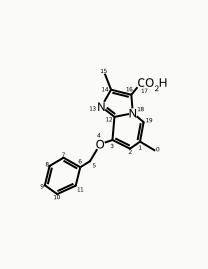 Cc1cc(OCc2ccccc2)c2nc(C)c(C(=O)O)n2c1